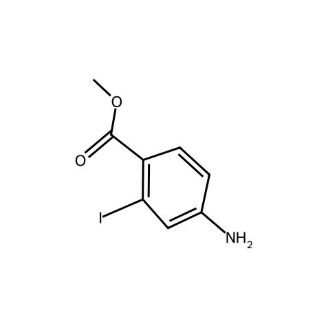 COC(=O)c1ccc(N)cc1I